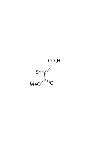 COC(=O)/C=C/C(=O)O.[SrH2]